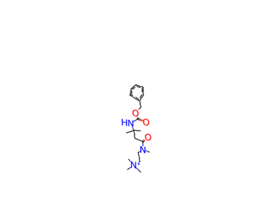 CN(CC[N+](C)(C)C)C(=O)CC(C)(C)NC(=O)OCc1ccccc1